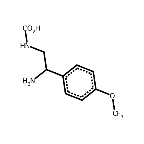 NC(CNC(=O)O)c1ccc(OC(F)(F)F)cc1